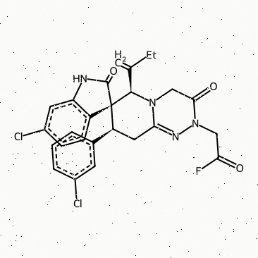 C=C(CC)[C@H]1N2CC(=O)N(CC(=O)F)N=C2C[C@@H](c2cccc(Cl)c2)[C@]12C(=O)Nc1cc(Cl)ccc12